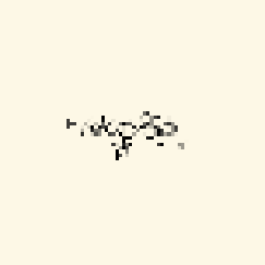 COC(=O)CN1CCN(C(=O)OC(C)(C)C)CC1C(F)(F)F